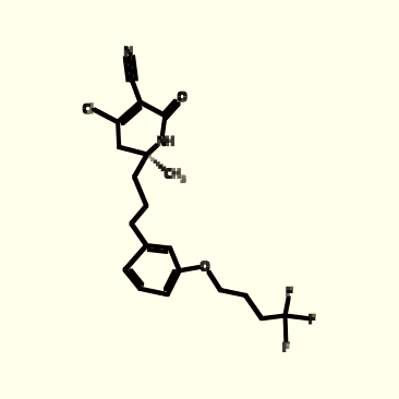 C[C@]1(CCCc2cccc(OCCCC(F)(F)F)c2)CC(Cl)=C(C#N)C(=O)N1